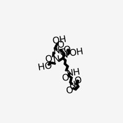 O=C(O)CN1CCN(CC(=O)O)CC(CCCCNC(=O)CCN2C(=O)C=CC2=O)N(CC(=O)O)CC1